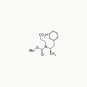 C[C@H](Cc1ccccc1)N(CCC(=O)O)C(=O)OC(C)(C)C